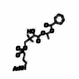 CC(=O)NCCCS(=O)(=O)OCC(C)(C)C(O)C(=O)OC(C)OC(=O)c1ccccc1